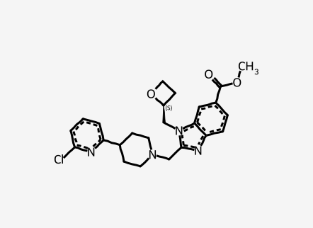 COC(=O)c1ccc2nc(CN3CCC(c4cccc(Cl)n4)CC3)n(C[C@@H]3CCO3)c2c1